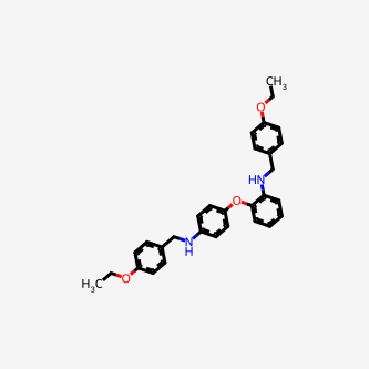 CCOc1ccc(CNc2ccc(Oc3ccccc3NCc3ccc(OCC)cc3)cc2)cc1